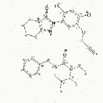 C#CCOc1cc(-n2nc3n(c2=O)CCCC3)c(Cl)cc1Cl.CCN(C(=O)SCc1ccccc1)C(C)C(C)C